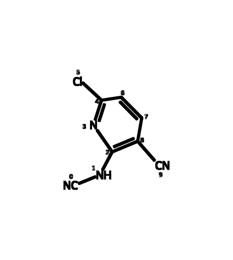 N#CNc1nc(Cl)ccc1C#N